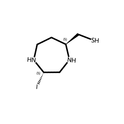 SC[C@@H]1CCN[C@@H](I)CN1